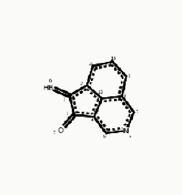 B=c1c(=O)c2cncc3cccc1c32